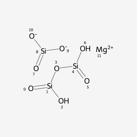 O=[Si](O)O[Si](=O)O.O=[Si]([O-])[O-].[Mg+2]